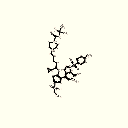 CCS(=O)(=O)c1ccc(OC(CCCCN2CCN(C(=O)OC(C)(C)C)CC2)C2CC2)c(-c2cn(C)c(=O)c3c2ccn3S(=O)(=O)c2ccc(C)cc2)c1